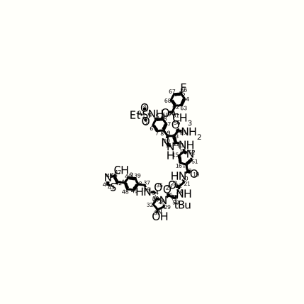 CCS(=O)(=O)Nc1ccc(-c2n[nH]c(Nc3ccc(C(=O)NCC(=O)N[C@@H](C(=O)N4C[C@@H](O)C[C@@H]4C(=O)NCc4ccc(-c5scnc5C)cc4)C(C)(C)C)cn3)c2C(N)=O)cc1O[C@H](C)c1ccc(F)cc1